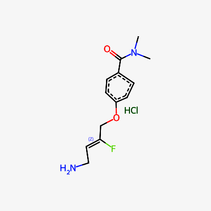 CN(C)C(=O)c1ccc(OC/C(F)=C/CN)cc1.Cl